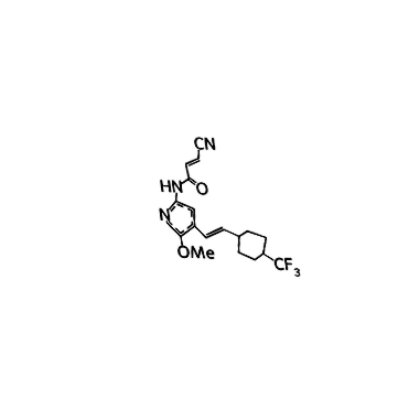 COc1cnc(NC(=O)C=CC#N)cc1C=CC1CCC(C(F)(F)F)CC1